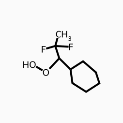 CC(F)(F)C(OO)C1CCCCC1